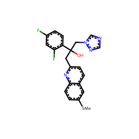 CSc1ccc2nc(CC(O)(Cn3cncn3)c3ccc(F)cc3F)ccc2c1